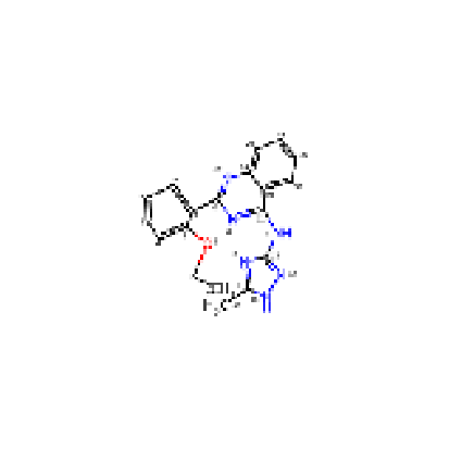 CCOc1ccccc1-c1nc(Nc2n[nH]c(C)n2)c2ccccc2n1